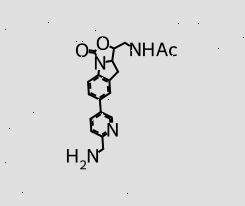 CC(=O)NCC1OC(=O)N2c3ccc(-c4ccc(CN)nc4)cc3CC12